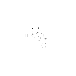 O=P(O)(O)OP(=O)(O)OP(=O)(O)O[C@H]1O[C@@H](n2cc(F)c(=S)[nH]c2=S)C(O)(C(F)(F)F)[C@H]1O